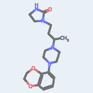 CC(CCN1CCNC1=O)N1CCN(c2cccc3c2OCCO3)CC1